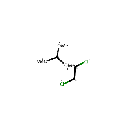 COC(OC)OC.ClCCCl